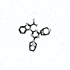 FC(F)c1nc2ccccc2n1-c1nc(N2CC3CCC(C2)O3)nc(N2C3CCC2COC3)n1